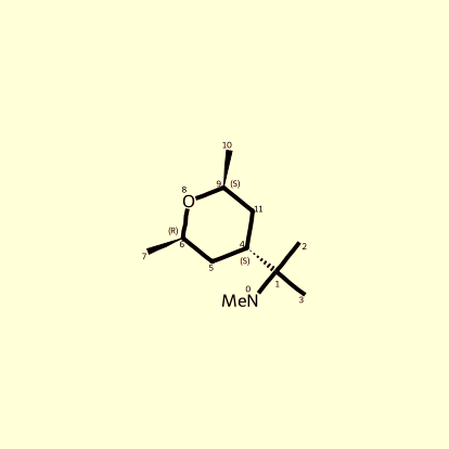 CNC(C)(C)[C@@H]1C[C@@H](C)O[C@@H](C)C1